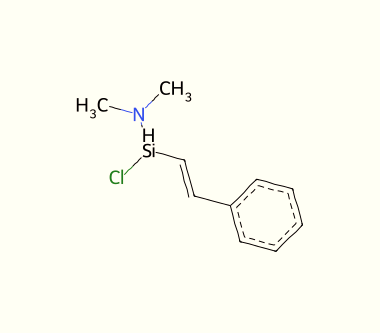 CN(C)[SiH](Cl)C=Cc1ccccc1